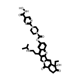 CC[C@@]1(O)C(=O)CCc2c1cc1n(c2=O)Cc2c-1nc1ccc(OC(=O)N3CCN(c4ncc(C(=O)NO)cn4)CC3)cc1c2CCNC(C)C